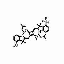 COC1=C(/C=C2\N(CCC(C)C)c3cccc(OC)c3C2(C)C)C(=O)/C1=C/C1=[N+](CCC(C)C)c2cccc(C(F)(F)F)c2C1(C)C